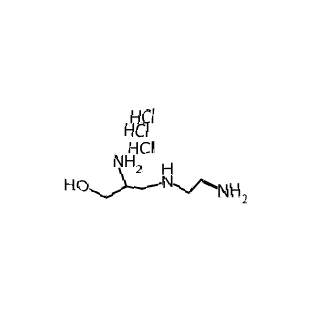 Cl.Cl.Cl.NCCNCC(N)CO